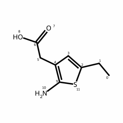 CCc1cc(CC(=O)O)c(N)s1